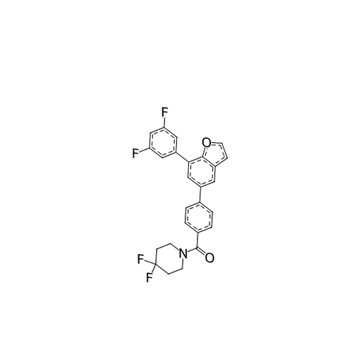 O=C(c1ccc(-c2cc(-c3cc(F)cc(F)c3)c3occc3c2)cc1)N1CCC(F)(F)CC1